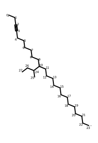 [CH2]CC#CCCCCCCC(CCCCCCCCCCCC[CH2])C(C)CC